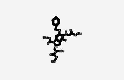 CCCCN(C[C@H]1Cc2c(cc(OCc3ccccc3)c(NCC(=O)OC(C)(C)C)c2F)N1C(=O)OC(C)(C)C)C(=O)OC(C)(C)C